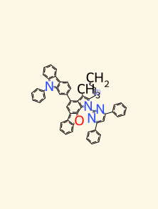 C=C/C=C\c1c(C)c2c(-c3ccc4c5ccccc5n(-c5ccccc5)c4c3)cc3c4ccccc4oc3c2n1-c1nc(-c2ccccc2)cc(-c2ccccc2)n1